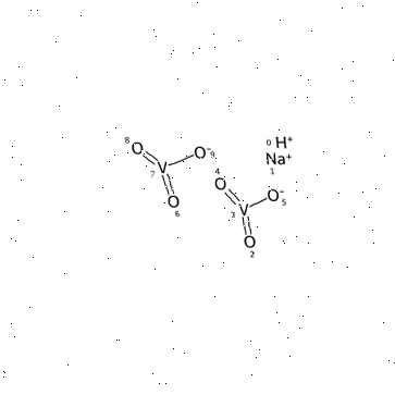 [H+].[Na+].[O]=[V](=[O])[O-].[O]=[V](=[O])[O-]